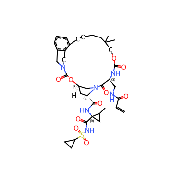 C=CC(=O)NC[C@@H]1NC(=O)OCC(C)(C)CCCCc2cccc3c2CN(C3)C(=O)O[C@@H]2C[C@@H](C(=O)N[C@]3(C(=O)NS(=O)(=O)C4CC4)CC3C)N(C2)C1=O